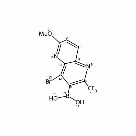 COc1ccc2nc(C(F)(F)F)c(B(O)O)c(Br)c2n1